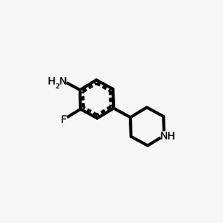 Nc1ccc(C2CCNCC2)cc1F